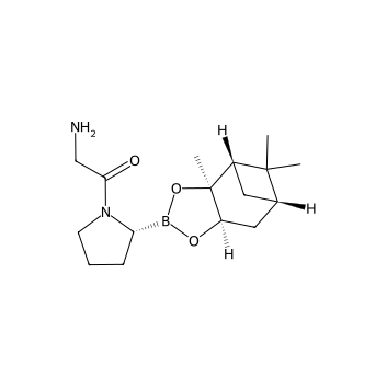 CC1(C)[C@@H]2C[C@H]3OB([C@@H]4CCCN4C(=O)CN)O[C@@]3(C)[C@H]1C2